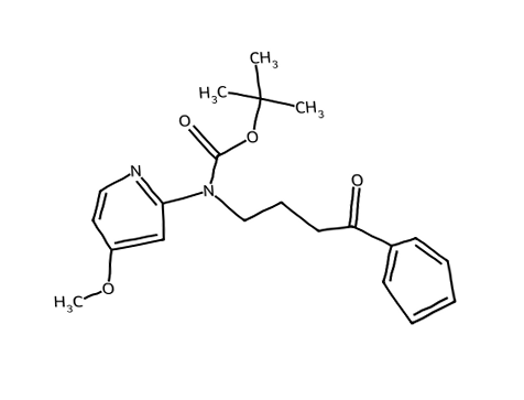 COc1ccnc(N(CCCC(=O)c2ccccc2)C(=O)OC(C)(C)C)c1